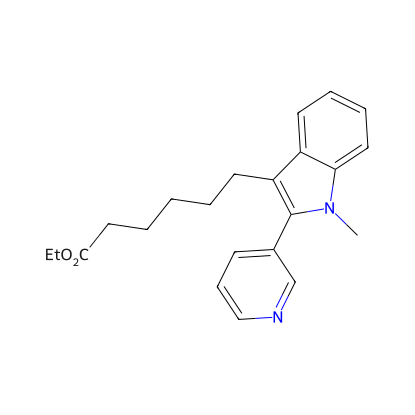 CCOC(=O)CCCCCc1c(-c2cccnc2)n(C)c2ccccc12